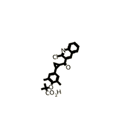 Cc1cc(C2CC2C(=O)c2cc3ccccc3nc2Cl)cc(C)c1OC(C)(C)C(=O)O